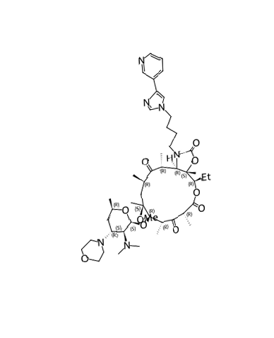 CC[C@H]1OC(=O)[C@H](C)C(=O)[C@H](C)[C@@H](O[C@@H]2O[C@H](C)C[C@@H](N3CCOCC3)[C@@H]2N(C)C)[C@@](C)(OC)C[C@@H](C)C(=O)[C@H](C)[C@H]2N(CCCCn3cnc(-c4cccnc4)c3)C(=O)O[C@]12C